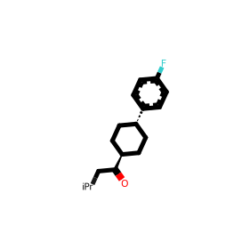 CC(C)CC(=O)[C@H]1CC[C@H](c2ccc(F)cc2)CC1